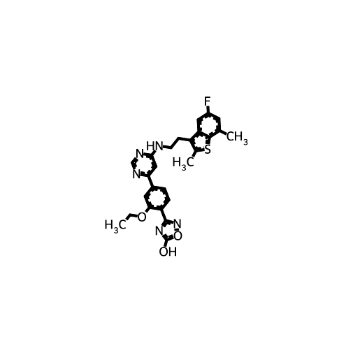 CCOc1cc(-c2cc(NCCc3c(C)sc4c(C)cc(F)cc34)ncn2)ccc1-c1noc(O)n1